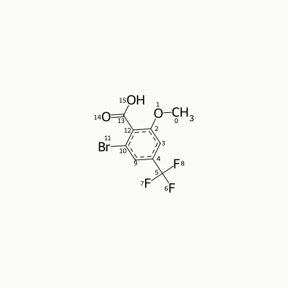 COc1cc(C(F)(F)F)cc(Br)c1C(=O)O